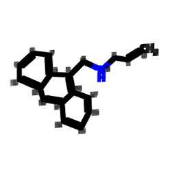 C=CCNCc1c2ccccc2cc2ccccc12